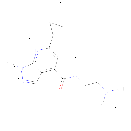 CCC(C)n1ncc2c(C(=O)NCCN(C)C)cc(C3CC3)nc21